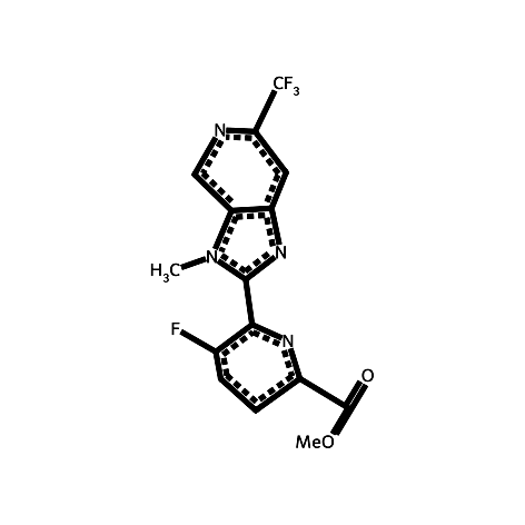 COC(=O)c1ccc(F)c(-c2nc3cc(C(F)(F)F)ncc3n2C)n1